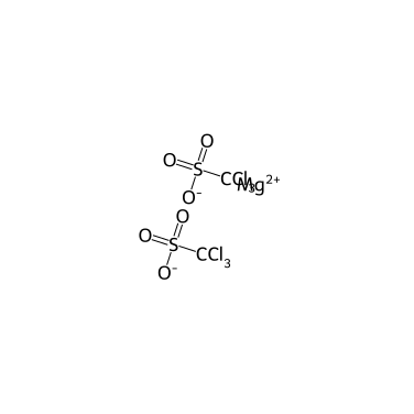 O=S(=O)([O-])C(Cl)(Cl)Cl.O=S(=O)([O-])C(Cl)(Cl)Cl.[Mg+2]